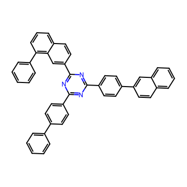 c1ccc(-c2ccc(-c3nc(-c4ccc(-c5ccc6ccccc6c5)cc4)nc(-c4ccc5cccc(-c6ccccc6)c5c4)n3)cc2)cc1